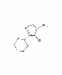 O=[N+]([O-])c1cnn(C2CCCCO2)c1Cl